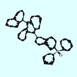 O=P(c1ccccc1)(c1ccccc1)c1ccc2cc(-c3c4ccccc4c(-c4cccc5ccccc45)c4ccccc34)ccc2c1